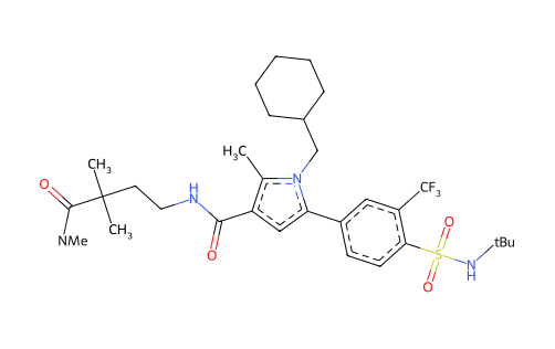 CNC(=O)C(C)(C)CCNC(=O)c1cc(-c2ccc(S(=O)(=O)NC(C)(C)C)c(C(F)(F)F)c2)n(CC2CCCCC2)c1C